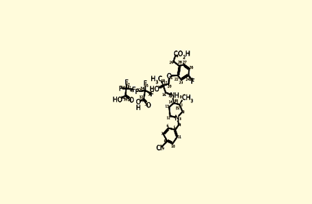 C[C@H]1CN(Cc2ccc(Cl)cc2)CC[C@H]1NC[C@](C)(O)COc1cc(F)ccc1CC(=O)O.O=C(O)C(F)(F)F.O=C(O)C(F)(F)F